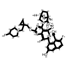 C#Cc1c(F)ccc2cc(O)cc(-c3nc4c5c(nc(OCC6(CN7CCC(F)CC7)CC6)nc5c3F)N3C[C@H]5CC[C@H](N5)[C@H]3CO4)c12